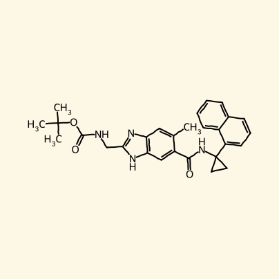 Cc1cc2nc(CNC(=O)OC(C)(C)C)[nH]c2cc1C(=O)NC1(c2cccc3ccccc23)CC1